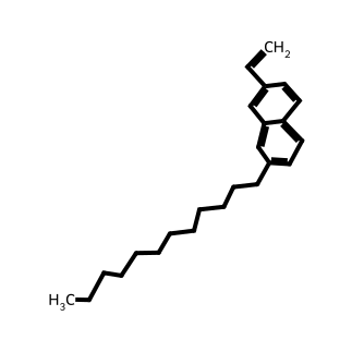 C=Cc1ccc2ccc(CCCCCCCCCCCC)cc2c1